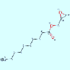 CC(C)(C)CCCCCCCCC(=O)OCC1CO1